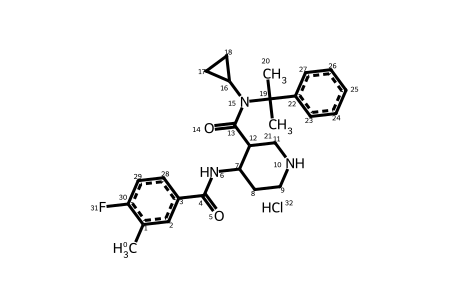 Cc1cc(C(=O)NC2CCNCC2C(=O)N(C2CC2)C(C)(C)c2ccccc2)ccc1F.Cl